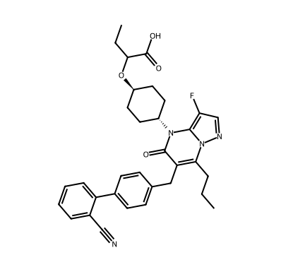 CCCc1c(Cc2ccc(-c3ccccc3C#N)cc2)c(=O)n([C@H]2CC[C@H](OC(CC)C(=O)O)CC2)c2c(F)cnn12